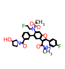 CNC(=O)c1c(-c2ccc(F)cc2)oc2cc(N(CCF)S(C)(=O)=O)c(-c3cccc(C(=O)N4CCC(O)C4)c3)cc12